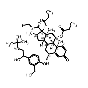 CC(C)(C)NCC(O)c1ccc(O)c(CO)c1.CCC(=O)O[C@H]1C[C@@]2(C)[C@@H](C[C@@H](C)[C@]2(OC(=O)CC)C(=O)SCF)[C@@H]2C[C@H](F)C3=CC(=O)C=C[C@]3(C)[C@@]12F